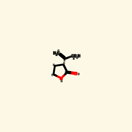 C=CC(=O)O.O=C1CCCO1